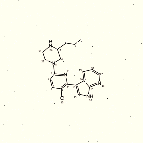 CCCC1CN(c2ccc(Cl)c(-c3n[nH]c4ncccc34)n2)CCN1